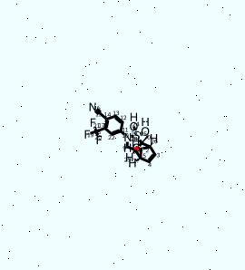 C[C@@]12[C@@H]3C=C[C@@H]([C@@H]3O)[C@@H]1CN(c1ccc(C#N)c(C(F)(F)F)c1)S2(O)O